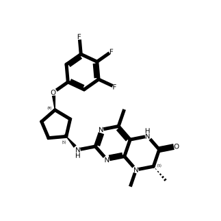 Cc1nc(N[C@H]2CC[C@@H](Oc3cc(F)c(F)c(F)c3)C2)nc2c1NC(=O)[C@H](C)N2C